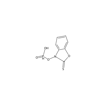 O=[PH](O)On1c(=S)oc2ccccc21